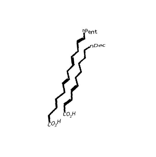 CCCCC/C=C/C/C=C/C/C=C/CCCCC(=O)O.CCCCCCCCCCCCCCC/C=C/C=C/C(=O)O